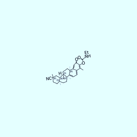 CCNC(=O)OC1=C(C)C2=CC=C3[C@@](C)(CC[C@@]4(C)[C@@H]5C[C@](C)(C#N)CC[C@]5(C)CC[C@]34C)C2=CC1=O